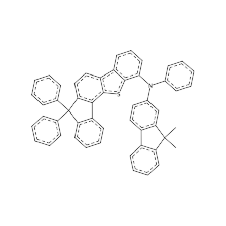 CC1(C)c2ccccc2-c2ccc(N(c3ccccc3)c3cccc4c3sc3c5c(ccc34)C(c3ccccc3)(c3ccccc3)c3ccccc3-5)cc21